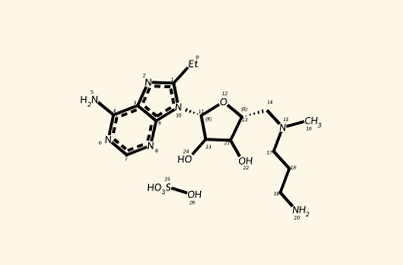 CCc1nc2c(N)ncnc2n1[C@@H]1O[C@H](CN(C)CCCN)C(O)C1O.O=S(=O)(O)O